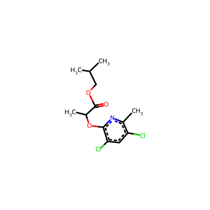 Cc1nc(OC(C)C(=O)OCC(C)C)c(Cl)cc1Cl